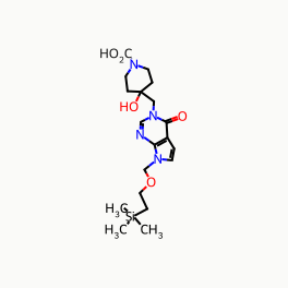 C[Si](C)(C)CCOCn1ccc2c(=O)n(CC3(O)CCN(C(=O)O)CC3)cnc21